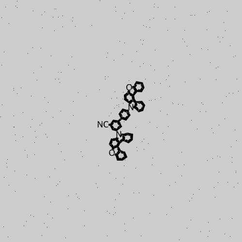 N#Cc1cc(-c2ccc(-n3c4ccccc4c4c5c(ccc43)oc3ccccc35)cc2)cc(-n2c3ccccc3c3c4c(ccc32)oc2ccccc24)c1